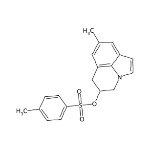 Cc1ccc(S(=O)(=O)OC2Cc3cc(C)cc4ccn(c34)C2)cc1